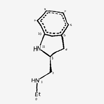 CCNC[C@@H]1Cc2ccccc2N1